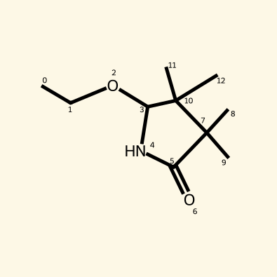 CCOC1NC(=O)C(C)(C)C1(C)C